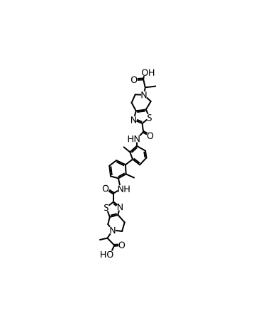 Cc1c(NC(=O)c2nc3c(s2)CN(C(C)C(=O)O)CC3)cccc1-c1cccc(NC(=O)c2nc3c(s2)CN(C(C)C(=O)O)CC3)c1C